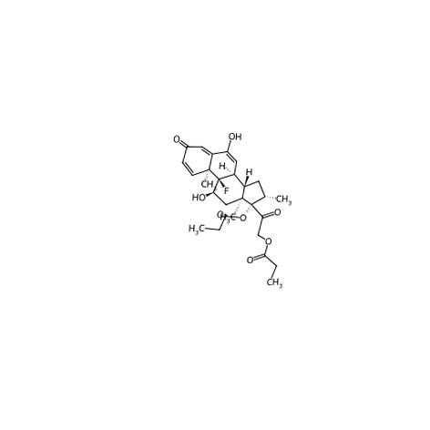 CCC(=O)OCC(=O)[C@]1(OC(=O)CC)[C@@H](C)C[C@H]2[C@@H]3C=C(O)C4=CC(=O)C=C[C@]4(C)[C@@]3(F)[C@H](O)C[C@@]21C